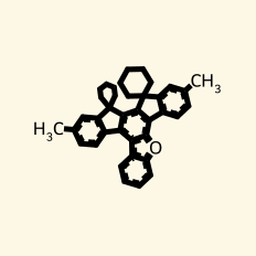 Cc1ccc2c(c1)C1(CCCCC1)c1c3c(c4c(oc5ccccc54)c1-2)-c1ccc(C)cc1C31CCCCC1